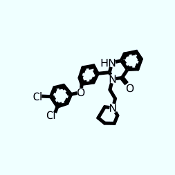 O=C1c2ccccc2NC(c2cccc(Oc3ccc(Cl)c(Cl)c3)c2)N1CCN1CCCCC1